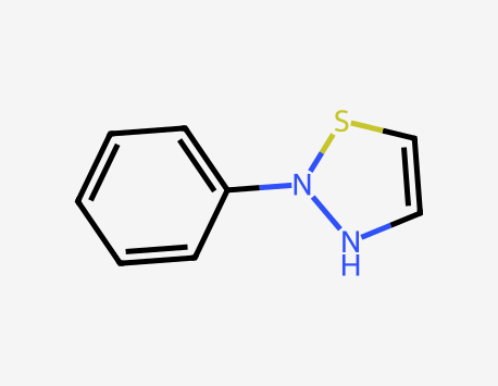 C1=CSN(c2ccccc2)N1